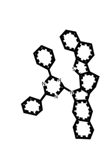 c1ccc(-c2nc(-c3ccccc3)nc(-n3c4cc5ccccc5cc4c4ccc5c6ccc7ccccc7c6sc5c43)n2)cc1